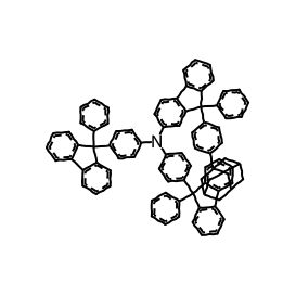 c1ccc(C2(c3ccc(N(c4ccc(C5(c6ccccc6)c6ccccc6-c6ccccc65)cc4)c4ccc5c(c4)C(c4ccccc4)(c4ccc(C67CC8CC(CC(C8)C6)C7)cc4)c4ccccc4-5)cc3)c3ccccc3-c3ccccc32)cc1